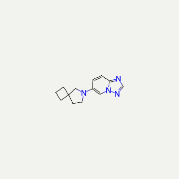 c1nc2ccc(N3CCC4(CCC4)C3)cn2n1